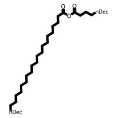 CCCCCCCCCCCCCCCCCCCCCCCCCCCCCC(=O)OC(=O)CCCCCCCCCCCCC